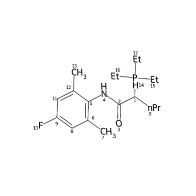 CCCC(C(=O)Nc1c(C)cc(F)cc1C)[PH](CC)(CC)CC